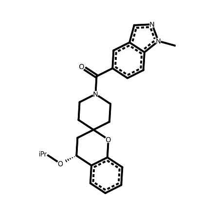 CC(C)O[C@@H]1CC2(CCN(C(=O)c3ccc4c(cnn4C)c3)CC2)Oc2ccccc21